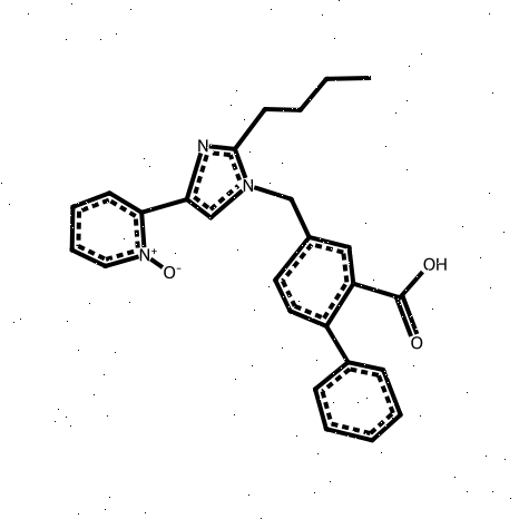 CCCCc1nc(-c2cccc[n+]2[O-])cn1Cc1ccc(-c2ccccc2)c(C(=O)O)c1